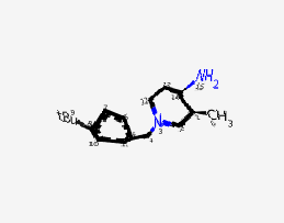 C[C@H]1CN(Cc2ccc(C(C)(C)C)cc2)CC[C@H]1N